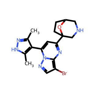 Cc1n[nH]c(C)c1-c1cc(C23CCC(CNC2)O3)nc2c(Br)cnn12